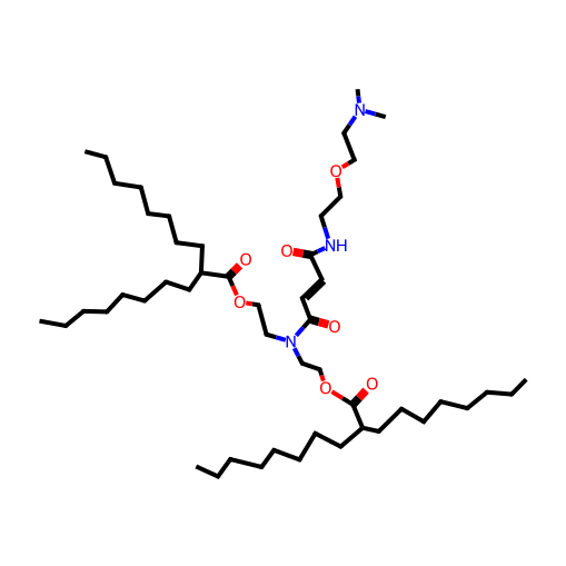 CCCCCCCCC(CCCCCCCC)C(=O)OCCN(CCOC(=O)C(CCCCCCCC)CCCCCCCC)C(=O)C=CC(=O)NCCOCCN(C)C